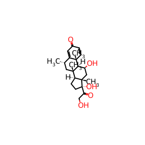 C[C@H]1C[C@]2(C)[C@H]([C@@H](O)C[C@@]3(C)[C@H]2CC[C@]3(O)C(=O)CO)[C@@]2(C)C=CC(=O)C=C12